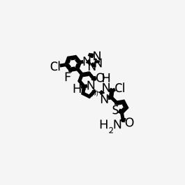 NC(=O)c1ccc(-c2nc([C@@H]3CC[C@@H]4CC(c5c(-n6cnnn6)ccc(Cl)c5F)=CC(=O)N43)[nH]c2Cl)s1